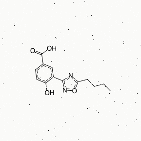 CCCCc1nc(-c2cc(C(=O)O)ccc2O)no1